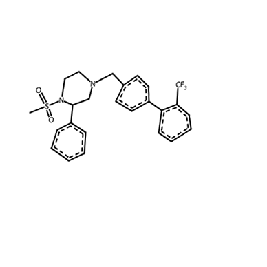 CS(=O)(=O)N1CCN(Cc2ccc(-c3ccccc3C(F)(F)F)cc2)CC1c1ccccc1